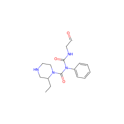 CCC1CNCCN1C(=O)N(C(=O)NC[C]=O)c1ccccc1